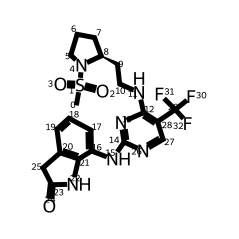 CS(=O)(=O)N1CCC[C@H]1CCNc1nc(Nc2cccc3c2NC(=O)C3)ncc1C(F)(F)F